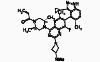 C=CC(=O)N1C[C@H](C)N(c2nc(N3CC(NC)C3)nc3c(F)c(-c4c(C)ccc5[nH]nc(C6CC6)c45)c(C)cc23)C[C@H]1C